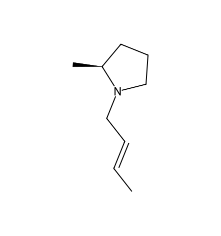 C/C=C/CN1CCC[C@@H]1C